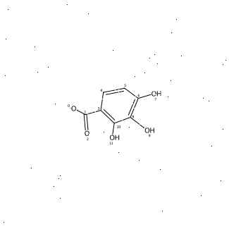 [O]C(=O)c1ccc(O)c(O)c1O